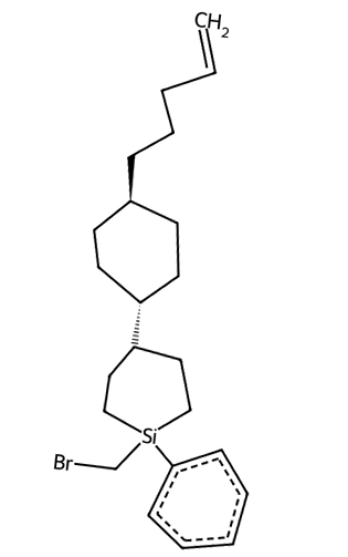 C=CCCC[C@H]1CC[C@H](C2CC[Si](CBr)(c3ccccc3)CC2)CC1